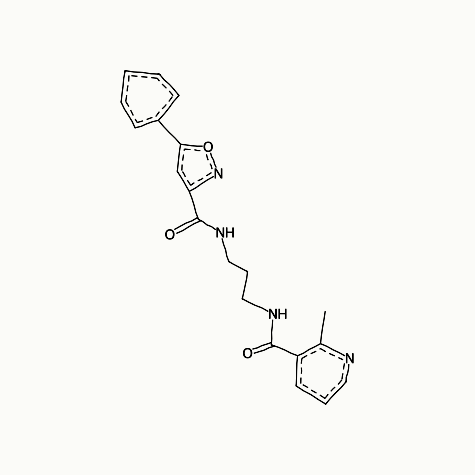 Cc1ncccc1C(=O)NCCCNC(=O)c1cc(-c2ccccc2)on1